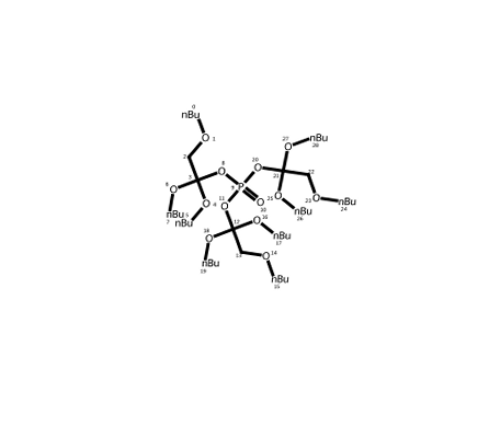 CCCCOCC(OCCCC)(OCCCC)OP(=O)(OC(COCCCC)(OCCCC)OCCCC)OC(COCCCC)(OCCCC)OCCCC